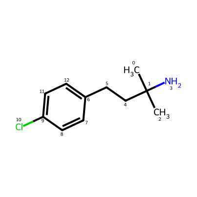 CC(C)(N)CCc1ccc(Cl)cc1